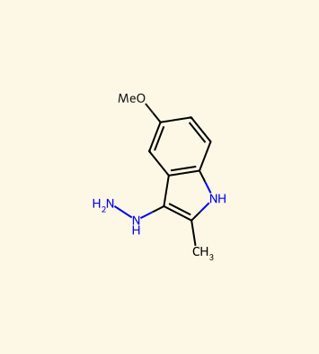 COc1ccc2[nH]c(C)c(NN)c2c1